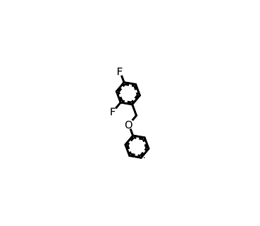 Fc1ccc(COc2cc[c]cc2)c(F)c1